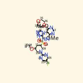 COc1ncnc(OC)c1-n1c(NS(=O)(=O)C2C[C@@H](OC(C)C)CN(c3ncc(F)cn3)C2)nnc1[C@@H]1COCCO1